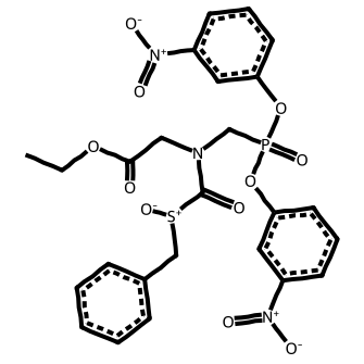 CCOC(=O)CN(CP(=O)(Oc1cccc([N+](=O)[O-])c1)Oc1cccc([N+](=O)[O-])c1)C(=O)[S+]([O-])Cc1ccccc1